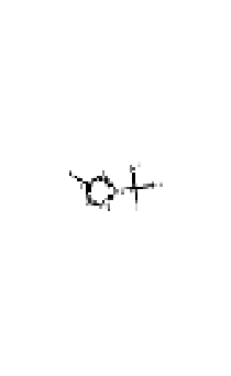 Cc1cnn(C(F)(F)F)c1